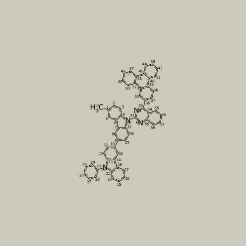 Cc1ccc2c(c1)c1cc(-c3ccc4c(c3)c3ccccc3n4-c3ccccc3)ccc1n2-c1nc(-c2ccc3c4ccccc4c4ccccc4c3c2)c2ccccc2n1